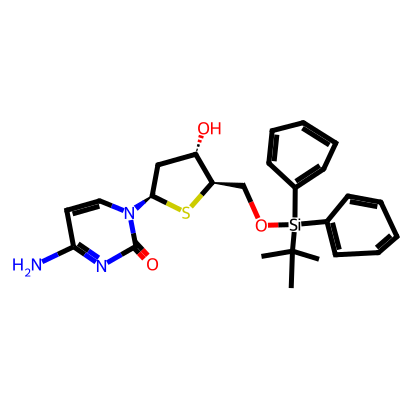 CC(C)(C)[Si](OC[C@H]1S[C@@H](n2ccc(N)nc2=O)C[C@@H]1O)(c1ccccc1)c1ccccc1